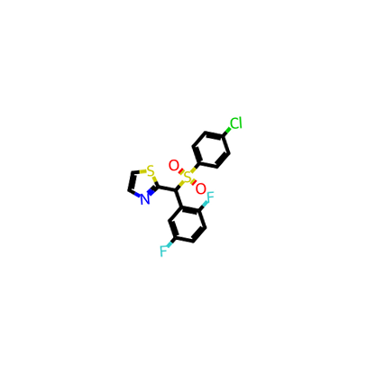 O=S(=O)(c1ccc(Cl)cc1)C(c1nccs1)c1cc(F)ccc1F